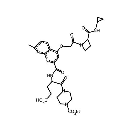 CCOC(=O)N1CCN(C(=O)C(CCC(=O)O)NC(=O)c2cc(OCC(=O)N3CCC3C(=O)NC3CC3)c3ccc(C)cc3n2)CC1